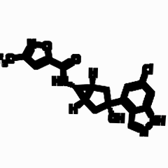 O=C(N[C@@H]1[C@@H]2C[C@@](O)(c3cc(Cl)cc4[nH]ncc34)C[C@@H]21)c1cc(C(F)(F)F)no1